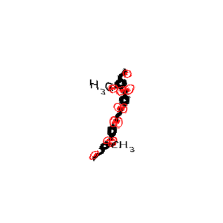 COc1cc(CC2CO2)ccc1OC(=O)c1ccc(OC(=O)CCC(=O)Oc2ccc(C(=O)Oc3ccc(CC4CO4)cc3OC)cc2)cc1